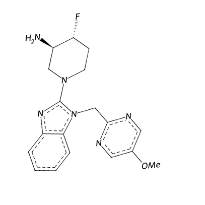 COc1cnc(Cn2c(N3CC[C@@H](F)[C@H](N)C3)nc3ccccc32)nc1